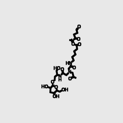 CC(=O)CN(CC(=O)NCCCCCC(=O)ON(C)C(=O)CCC=O)CC(=O)NC(CO)CCO[C@H]1OC(CO)[C@@H](O)CC1O